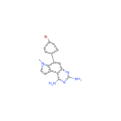 Cn1ccc2c3c(N)nc(N)nc3cc(-c3ccc(Br)cc3)c21